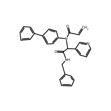 C=CC(=O)N(c1ccc(-c2ccccc2)cc1)C(C(=O)NCc1ccccc1)c1cccnc1